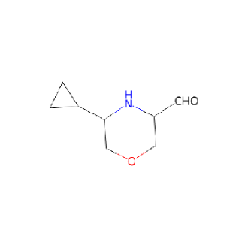 O=CC1COCC(C2CC2)N1